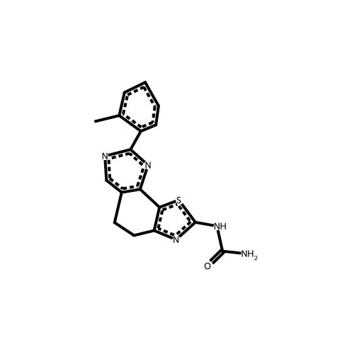 Cc1ccccc1-c1ncc2c(n1)-c1sc(NC(N)=O)nc1CC2